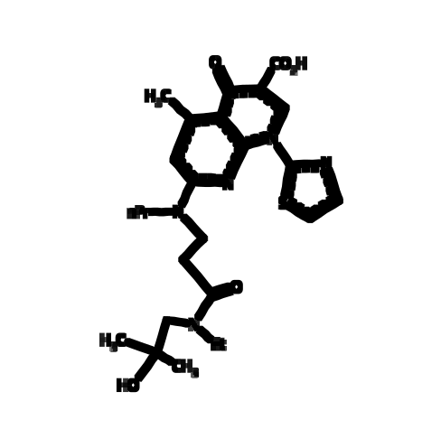 CCCN(CCC(=O)N(CC)CC(C)(C)O)c1cc(C)c2c(=O)c(C(=O)O)cn(-c3nccs3)c2n1